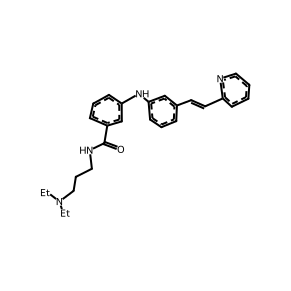 CCN(CC)CCCNC(=O)c1cccc(Nc2cccc(C=Cc3ccccn3)c2)c1